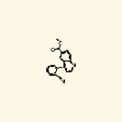 COC(=O)c1ccc2nccc(-c3ccccc3C#N)c2c1